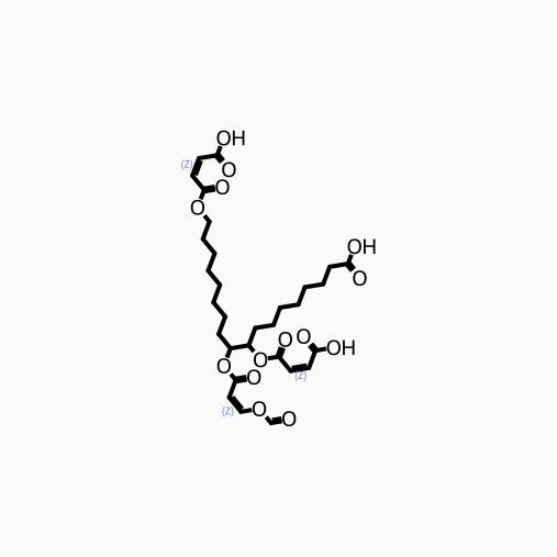 O=CO/C=C\C(=O)OC(CCCCCCCCOC(=O)/C=C\C(=O)O)C(CCCCCCCC(=O)O)OC(=O)/C=C\C(=O)O